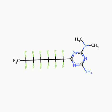 CN(C)c1nc(N)nc(C(F)(F)C(F)(F)C(F)(F)C(F)(F)C(F)(F)C(F)(F)C(F)(F)F)n1